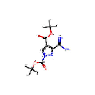 CC(C)(C)OC(=O)c1cn(C(=O)OC(C)(C)C)nc1C(=N)N